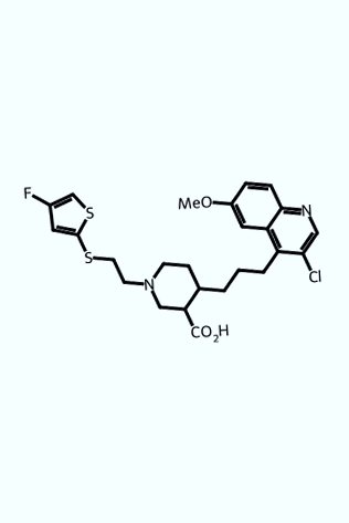 COc1ccc2ncc(Cl)c(CCCC3CCN(CCSc4cc(F)cs4)CC3C(=O)O)c2c1